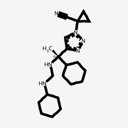 C[C@@](NCNC1CCCCC1)(c1cn(C2(C#N)CC2)nn1)C1CCCCC1